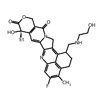 CC[C@@]1(O)C(=O)OCc2c1cc1n(c2=O)Cc2c-1nc1cc(F)c(C)c3c1c2C(CNCCO)CC3